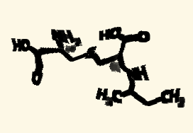 CCC(C)N[C@@H](CSC[C@H](N)C(=O)O)C(=O)O